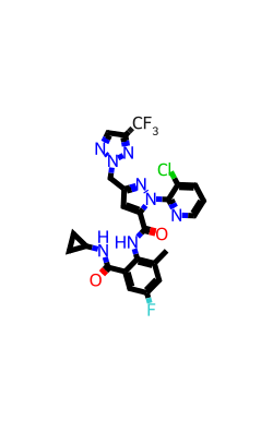 Cc1cc(F)cc(C(=O)NC2CC2)c1NC(=O)c1cc(Cn2ncc(C(F)(F)F)n2)nn1-c1ncccc1Cl